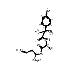 CCOC(=O)[C@@H](CCC(=O)O)NC(=O)[C@@H](NC(=O)C(C)(C)c1ccc(O)cc1)C(C)C